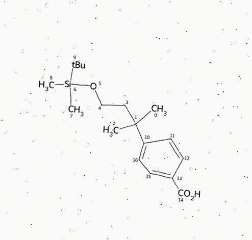 CC(C)(CCO[Si](C)(C)C(C)(C)C)c1ccc(C(=O)O)cc1